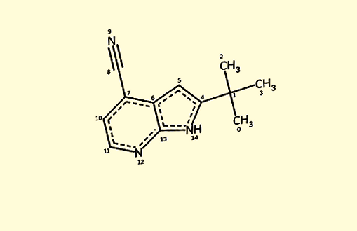 CC(C)(C)c1cc2c(C#N)ccnc2[nH]1